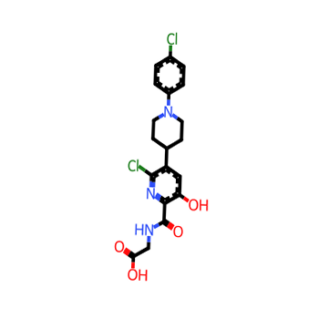 O=C(O)CNC(=O)c1nc(Cl)c(C2CCN(c3ccc(Cl)cc3)CC2)cc1O